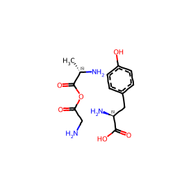 C[C@H](N)C(=O)OC(=O)CN.N[C@@H](Cc1ccc(O)cc1)C(=O)O